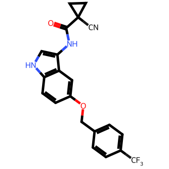 N#CC1(C(=O)Nc2c[nH]c3ccc(OCc4ccc(C(F)(F)F)cc4)cc23)CC1